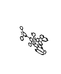 c1ccc(-c2cc(-c3cc4c5c(c3)N(c3ccccc3)c3cc6c7cccc8cccc(c9cccc(c3B5c3c(cc5c%10cccc%11cccc(c%12cccc3c%125)c%11%10)N4c3ccccc3)c96)c87)cc(-c3ccccc3)n2)cc1